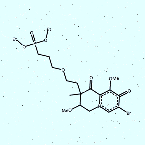 CCOP(=O)(CCCOCCC1(C)C(=O)c2c(OC)c(=O)c(Br)cn2CC1OC)OCC